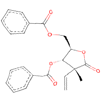 C=C[C@@]1(C)C(=O)O[C@H](COC(=O)c2ccccc2)[C@H]1OC(=O)c1ccccc1